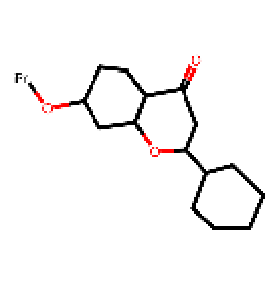 CC(C)OC1CCC2C(=O)CC(C3CCCCC3)OC2C1